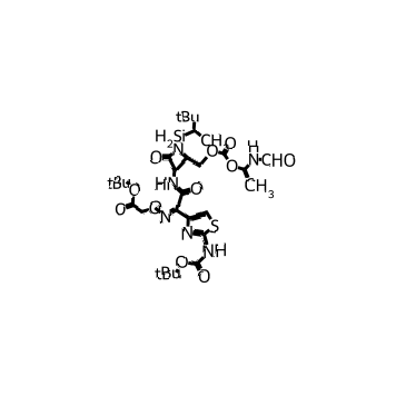 CC(NC=O)OC(=O)OCC1C(NC(=O)C(=NOCC(=O)OC(C)(C)C)c2csc(NC(=O)OC(C)(C)C)n2)C(=O)N1[SiH2]C(C)C(C)(C)C